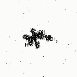 CC(F)C(=O)NCCCC[C@H](NC(=O)[C@H](CO)NC(=O)[C@H](CCc1ccccc1)NC(=O)[C@@H](CCC1C=c2ccccc2=CC1)NC(=O)[C@@H](Cc1ccc2ccccc2c1)NC(=O)C1CCNCC1)C(N)=O